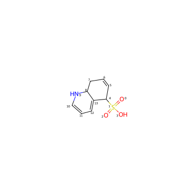 O=S(=O)(O)C1C=CCC2NC=CC=C21